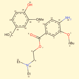 CCCCOc1cc(C(=O)OCCN(CC)CC)ccc1N.COc1cc(C(=O)O)ccc1O